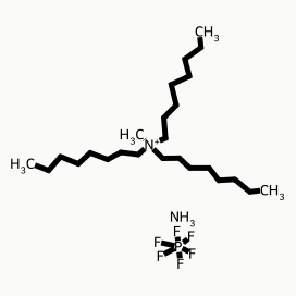 CCCCCCCC[N+](C)(CCCCCCCC)CCCCCCCC.F[P-](F)(F)(F)(F)F.N